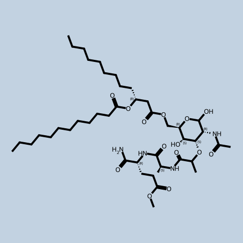 CCCCCCCCCCCC(=O)O[C@H](CCCCCCCCC)CC(=O)OC[C@H]1OC(O)[C@H](NC(C)=O)[C@H](OC(C)C(=O)N[C@@H](C)C(=O)N[C@H](CCC(=O)OC)C(N)=O)[C@@H]1O